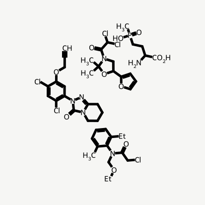 C#CCOc1cc(-n2nc3n(c2=O)CCCC3)c(Cl)cc1Cl.CC1(C)OC(c2ccco2)CN1C(=O)C(Cl)Cl.CCOCN(C(=O)CCl)c1c(C)cccc1CC.CP(=O)(O)CCC(N)C(=O)O